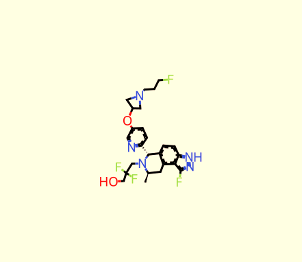 C[C@@H]1Cc2c(ccc3[nH]nc(F)c23)[C@@H](c2ccc(OC3CN(CCCF)C3)cn2)N1CC(F)(F)CO